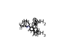 CC(=O)N1c2ccc(/C(C=N)=C/NC3CC3)c(O[C@H](F)C(N)=O)c2CC[C@@H]1C